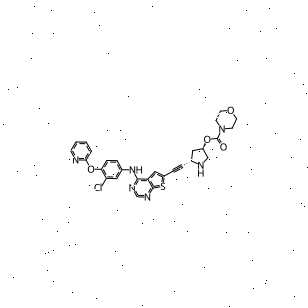 O=C(O[C@H]1CN[C@H](C#Cc2cc3c(Nc4ccc(Oc5ccccn5)c(Cl)c4)ncnc3s2)C1)N1CCOCC1